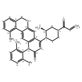 C=CC(=O)N1CCN(c2nc(=O)n(-c3c(C)ccnc3C(C)C)c3cc4c(cc23)OCc2cccc(N)c2-4)[C@@H](C)C1